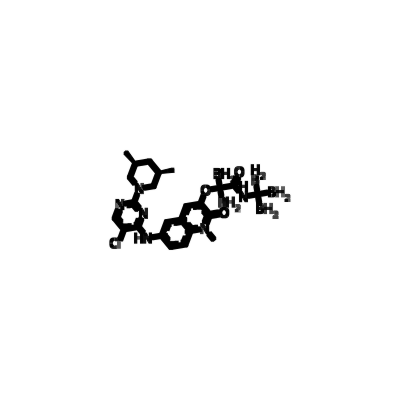 BC(B)(B)NC(=O)C(B)(B)Oc1cc2cc(Nc3nc(N4C[C@H](C)C[C@H](C)C4)ncc3Cl)ccc2n(C)c1=O